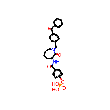 O=C(N[C@H]1CCCCN(Cc2ccc(C(=O)c3ccccc3)cc2)C1=O)c1ccc(OP(=O)(O)O)cc1